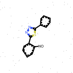 O=Nc1ccccc1-c1nnc(-c2ccccc2)s1